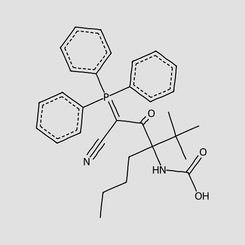 CCCCC(NC(=O)O)(C(=O)C(C#N)=P(c1ccccc1)(c1ccccc1)c1ccccc1)C(C)(C)C